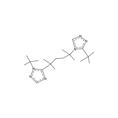 CC(C)(C)c1nncn1C(C)(C)CCC(C)(C)c1ncnn1C(C)(C)C